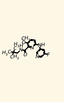 COc1ccc(Nc2cncc(F)c2)nc1C(=O)NCC(C)(C)C